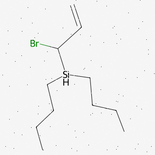 C=CC(Br)[SiH](CCCC)CCCC